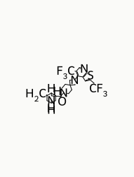 C=C1C[C@@H]2CC[C@H]1[C@@H](C(=O)N1CCC3(CC1)CN(c1c(C(F)(F)F)cnc4sc(CC(F)(F)F)cc14)C3)N2